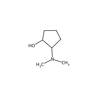 CN(C)C1CCCC1O